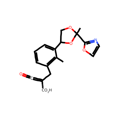 Cc1c(CC(=C=O)C(=O)O)cccc1C1COC(C)(c2ncco2)O1